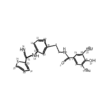 CC(C)(C)c1cc(C(=O)NCCc2cccc(NC(=N)c3cccs3)c2)cc(C(C)(C)C)c1O